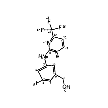 OCc1cc(I)cc(Nc2nccc(C(F)(F)F)n2)c1